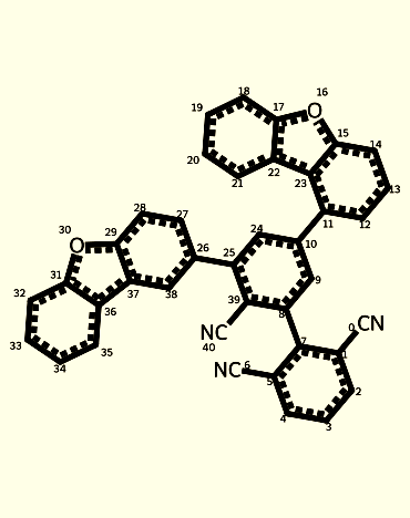 N#Cc1cccc(C#N)c1-c1cc(-c2cccc3oc4ccccc4c23)cc(-c2ccc3oc4ccccc4c3c2)c1C#N